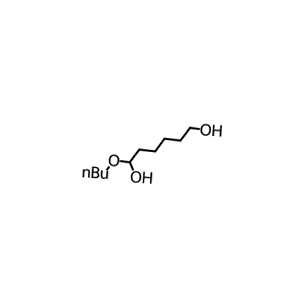 CCCCOC(O)CCCCCO